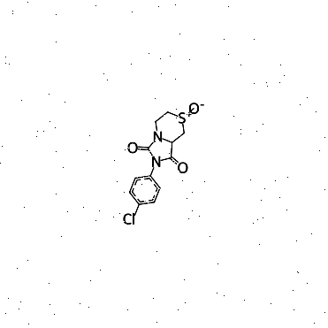 O=C1C2C[S+]([O-])CCN2C(=O)N1c1ccc(Cl)cc1